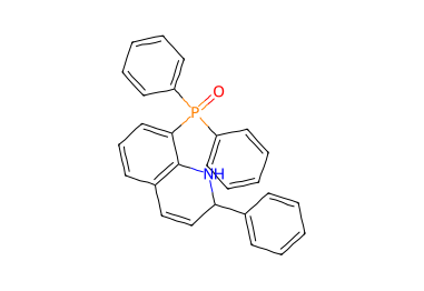 O=P(c1ccccc1)(c1ccccc1)c1cccc2c1NC(c1ccccc1)C=C2